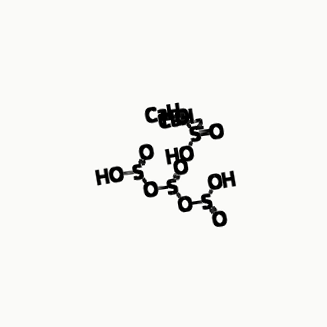 O=S(O)O.O=S(O)OS(=O)OS(=O)O.[CaH2].[CaH2]